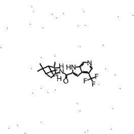 CC1(C)C2C[C@H](NC(=O)c3cc4c(C(F)(F)F)cncc4[nH]3)C(C)(C)C1C2(C)C